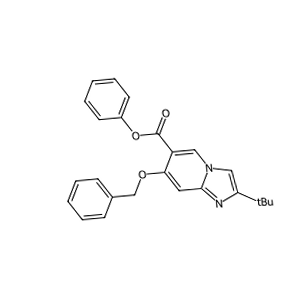 CC(C)(C)c1cn2cc(C(=O)Oc3ccccc3)c(OCc3ccccc3)cc2n1